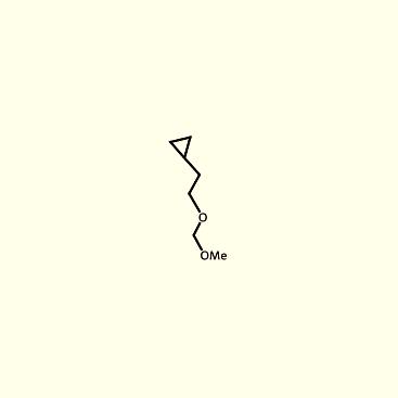 COCOCCC1CC1